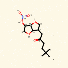 CC(C)(C)CCC(=O)CC1COC2C(O[N+](=O)[O-])COC12